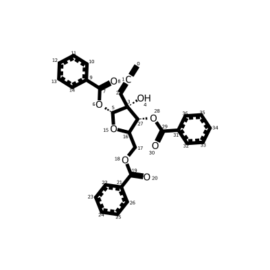 C=C=C[C@]1(O)[C@@H](OC(=O)c2ccccc2)OC(COC(=O)c2ccccc2)[C@H]1OC(=O)c1ccccc1